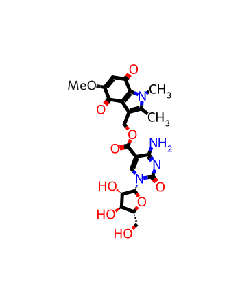 COC1=CC(=O)c2c(c(COC(=O)c3cn([C@@H]4O[C@H](CO)[C@@H](O)[C@@H]4O)c(=O)nc3N)c(C)n2C)C1=O